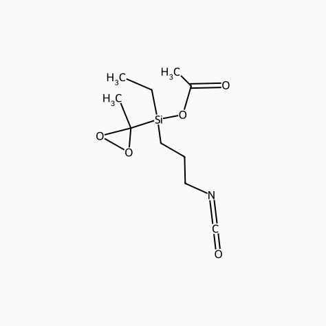 CC[Si](CCCN=C=O)(OC(C)=O)C1(C)OO1